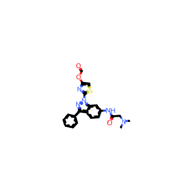 CN(C)CC(=O)Nc1ccc2c(-c3ccccc3)nn(-c3nc(OC=O)cs3)c2c1